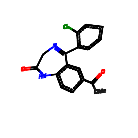 COC(=O)c1ccc2c(c1)C(c1ccccc1Cl)=NCC(=O)N2